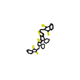 S=C1C(=CC2=Cc3sc4c(c3C23CCCCC3)C2(CCCCC2)c2cc(C=C3C(=S)c5ccccc5C3=S)sc2-4)C(=S)c2ccccc21